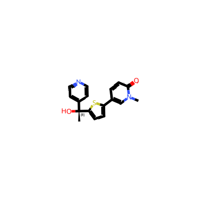 Cn1cc(-c2ccc([C@](C)(O)c3ccncc3)s2)ccc1=O